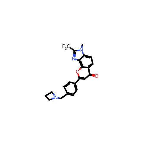 Cn1c(C(F)(F)F)nc2c3oc(-c4ccc(CN5CCC5)cc4)cc(=O)c3ccc21